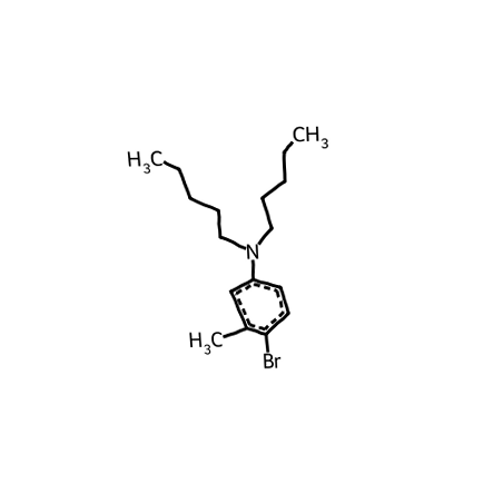 CCCCCN(CCCCC)c1ccc(Br)c(C)c1